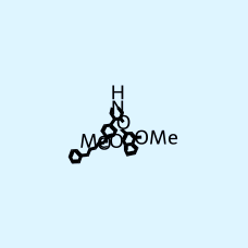 COc1cc(COC2CNCCC2c2ccc(OCCCCc3ccccc3)cc2)c(OC)c2ccccc12